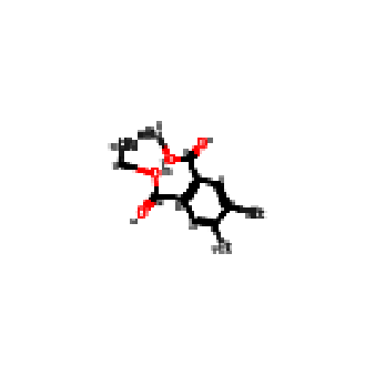 CCCCOC(=O)c1cc(CC)c(CC)cc1C(=O)OCC(C)(C)C